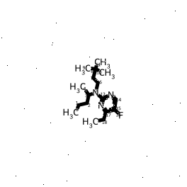 CCCC(C)N(CCC(C)(C)C)c1ncc(F)c(CC)n1